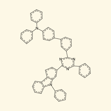 c1ccc(-c2nc(-c3cccc(-c4ccc(N(c5ccccc5)c5ccccc5)cc4)c3)nc(-c3ccc4c5ccccc5n(-c5ccccc5)c4c3)n2)cc1